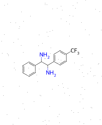 NC(c1ccccc1)C(N)c1ccc(C(F)(F)F)cc1